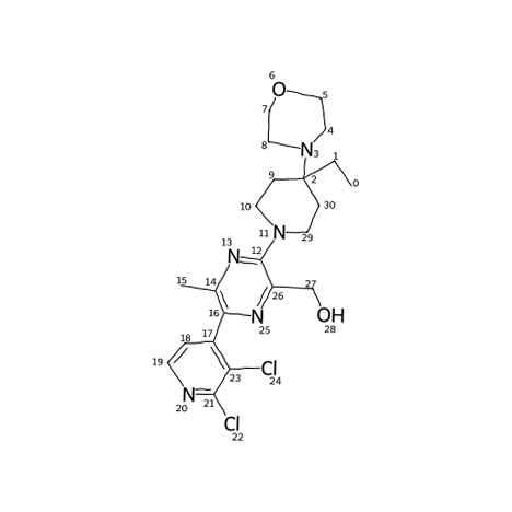 CCC1(N2CCOCC2)CCN(c2nc(C)c(-c3ccnc(Cl)c3Cl)nc2CO)CC1